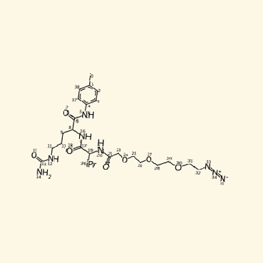 [CH2]c1ccc(NC(=O)C(CCCNC(N)=O)NC(=O)C(NC(=O)COCCOCCOCCN=[N+]=[N-])C(C)C)cc1